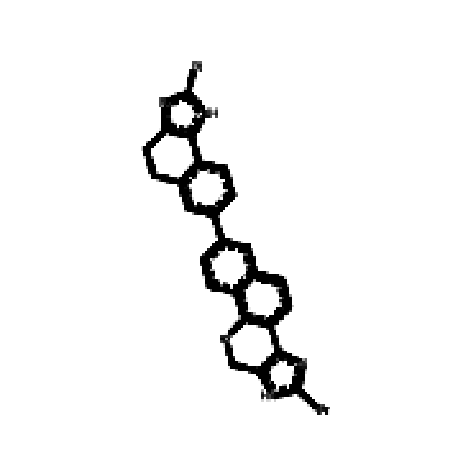 CCc1nc2c([nH]1)-c1ccc(-c3ccc4c5c(ccc4c3)-c3nc(C(C)C)[nH]c3CO5)cc1CC2